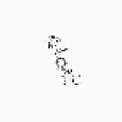 CCO[C@@H](C[C@H](C)OCC)c1cnc(C[C@H](O)[C@H](CO)OCC)cn1